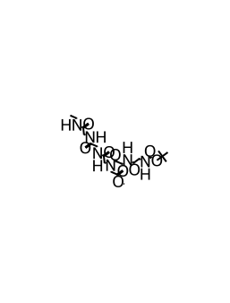 CCNC(=O)CNC(=O)CNC(=O)CN(CC(=O)OC)C(=O)CNC(=O)CNC(=O)OC(C)(C)C